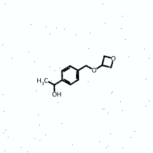 CC(O)c1ccc(COC2COC2)cc1